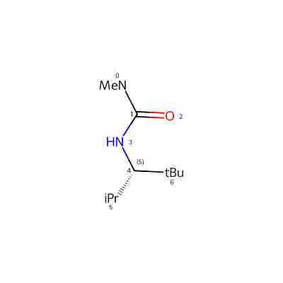 CNC(=O)N[C@@H](C(C)C)C(C)(C)C